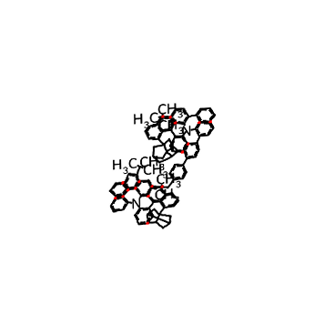 CC(C)(C)c1ccc(-c2ccccc2N(c2cc(C(C)(C)Cc3ccc(-c4ccc(-c5ccccc5N(c5cc(C(C)(C)C)ccc5-c5ccccc5)c5ccccc5-c5cccc6cccc(C78CC9CC%10CC(C7)C%108C9)c56)cc4)cc3)ccc2-c2ccccc2)c2ccccc2-c2cccc3cccc(C45CC6CC4CC6C5)c23)cc1